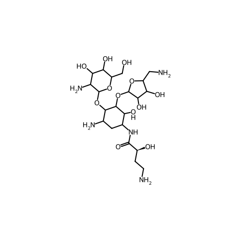 NCC[C@H](O)C(=O)NC1CC(N)C(OC2OC(CO)C(O)C(O)C2N)C(OC2OC(CN)C(O)C2O)C1O